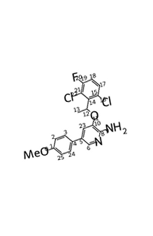 COc1ccc(-c2cnc(N)c(OC(C)c3c(Cl)ccc(F)c3Cl)c2)cc1